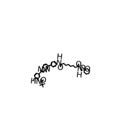 Cc1ccc(-c2cn3nc(-c4ccc(NC(=O)CCCCCCC(=O)NOC5CCCCO5)cc4)ccc3n2)cc1NC(=O)C(C)(C)C